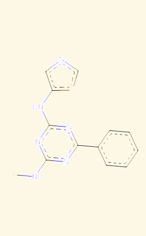 CC(C)Nc1nc(Nc2cncs2)nc(-c2ccccc2)n1